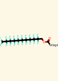 CCCCCCCC(=O)OCC(F)(F)C(F)(F)C(F)(F)C(F)(F)C(F)(F)C(F)(F)C(F)(F)C(F)(F)C(F)(F)C(F)F